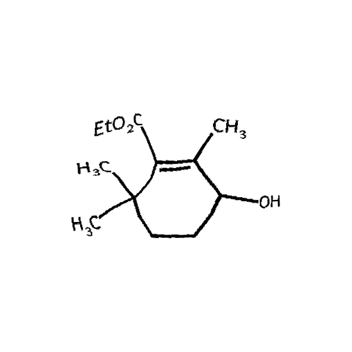 CCOC(=O)C1=C(C)C(O)CCC1(C)C